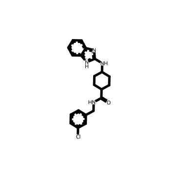 O=C(NCc1cccc(Cl)c1)C1CCC(Nc2nc3ccccc3[nH]2)CC1